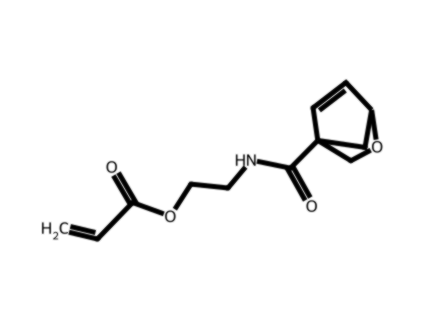 C=CC(=O)OCCNC(=O)C12C=CC(C1)OC2